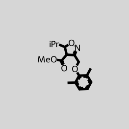 COC(=O)C1C(COc2c(C)cccc2C)=NOC1C(C)C